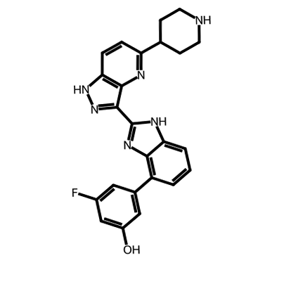 Oc1cc(F)cc(-c2cccc3[nH]c(-c4n[nH]c5ccc(C6CCNCC6)nc45)nc23)c1